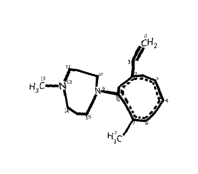 C=Cc1cccc(C)c1N1CCN(C)CC1